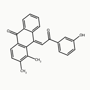 Cc1ccc2c(c1C)/C(=C/C(=O)c1cccc(O)c1)c1ccccc1C2=O